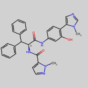 Cn1cncc1-c1ccc(NC(=O)[C@@H](NC(=O)c2ccnn2C)C(c2ccccc2)c2ccccc2)cc1O